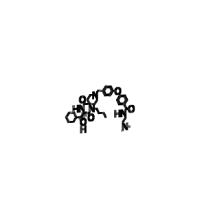 CCCCN1C(=O)[C@@H]([C@H](O)C2CCCCC2)NC(=O)C12CCN(Cc1ccc(Oc3ccc(C(=O)NCCN(C)C)cc3)cc1)CC2